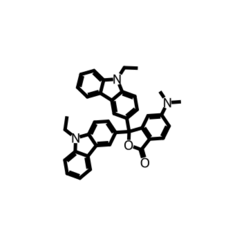 CCn1c2ccccc2c2cc(C3(c4ccc5c(c4)c4ccccc4n5CC)OC(=O)c4ccc(N(C)C)cc43)ccc21